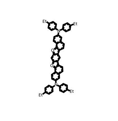 CCc1ccc(N(c2ccc(CC)cc2)c2ccc3c(ccc4c5cc6c(cc5oc34)oc3c4ccc(N(c5ccc(CC)cc5)c5ccc(CC)cc5)cc4ccc63)c2)cc1